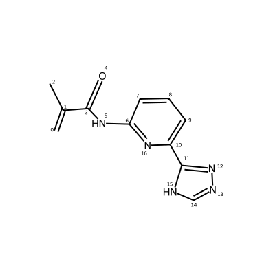 C=C(C)C(=O)Nc1cccc(-c2nnc[nH]2)n1